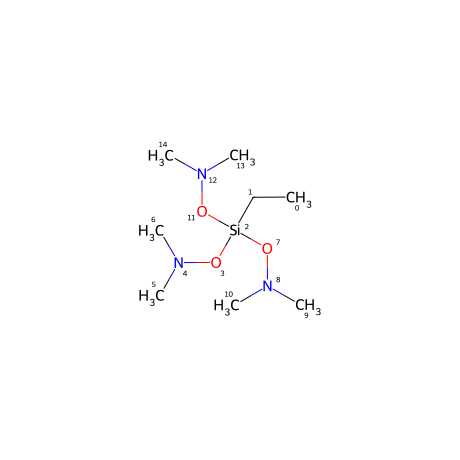 CC[Si](ON(C)C)(ON(C)C)ON(C)C